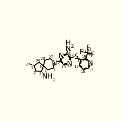 C[C@@H]1C[C@@H](N)C2(CCN(c3cnc(Sc4cccnc4C(F)(F)F)c(N)n3)CC2)C1